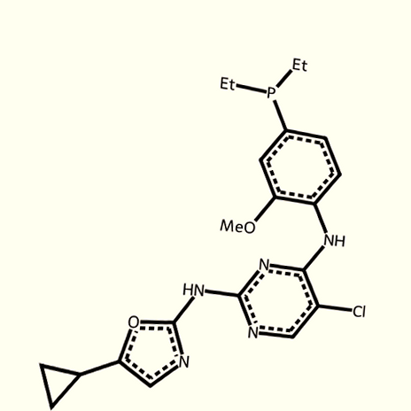 CCP(CC)c1ccc(Nc2nc(Nc3ncc(C4CC4)o3)ncc2Cl)c(OC)c1